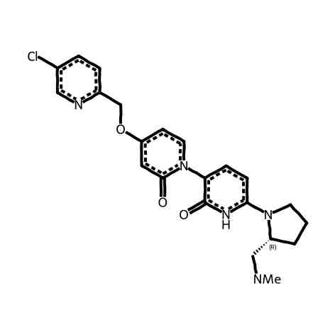 CNC[C@H]1CCCN1c1ccc(-n2ccc(OCc3ccc(Cl)cn3)cc2=O)c(=O)[nH]1